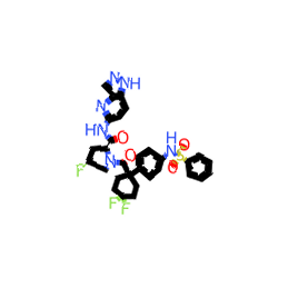 O=C(Nc1ccc2[nH]ncc2n1)[C@H]1C[C@@H](F)CN1C(=O)C1(c2ccc(NS(=O)(=O)c3ccccc3)cc2)CCC(F)(F)CC1